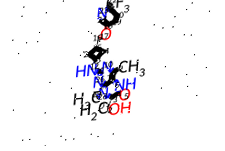 C=C(O)[C@H]1C(=O)Nc2c(C)nc(N[C@H]3C[C@@H](COc4ccc(C(F)(F)F)nc4)C3)nc2N1C